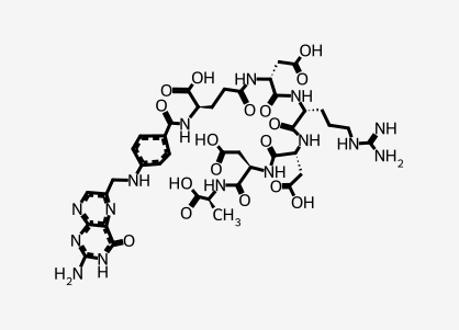 C[C@H](NC(=O)[C@@H](CC(=O)O)NC(=O)[C@@H](CC(=O)O)NC(=O)[C@@H](CCCNC(=N)N)NC(=O)[C@@H](CC(=O)O)NC(=O)CC[C@@H](NC(=O)c1ccc(NCc2cnc3nc(N)[nH]c(=O)c3n2)cc1)C(=O)O)C(=O)O